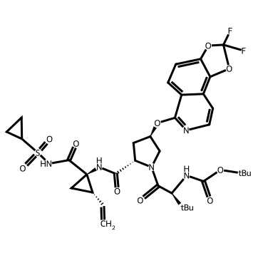 C=C[C@@H]1C[C@]1(NC(=O)[C@@H]1C[C@@H](Oc2nccc3c4c(ccc23)OC(F)(F)O4)CN1C(=O)[C@@H](NC(=O)OC(C)(C)C)C(C)(C)C)C(=O)NS(=O)(=O)C1CC1